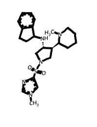 CN1CCCCC1[C@H]1CN(S(=O)(=O)c2cn(C)cn2)C[C@@H]1NC1CCc2ccccc21